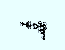 COCc1cnc2c(c1)n(C)c(=O)c(=O)n2C1CCN(c2ncc(C#N)cn2)CC1